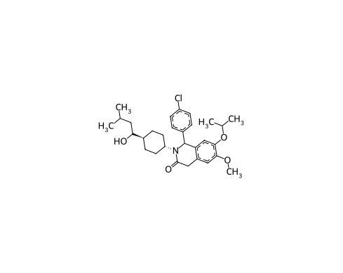 COc1cc2c(cc1OC(C)C)C(c1ccc(Cl)cc1)N([C@H]1CC[C@H](C(O)CC(C)C)CC1)C(=O)C2